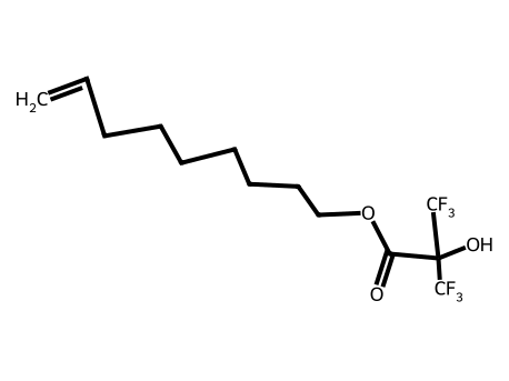 C=CCCCCCCCOC(=O)C(O)(C(F)(F)F)C(F)(F)F